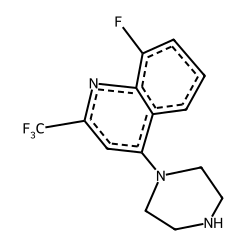 Fc1cccc2c(N3CCNCC3)cc(C(F)(F)F)nc12